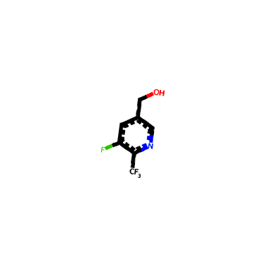 OCc1cnc(C(F)(F)F)c(F)c1